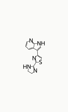 c1cnc2[nH]cc(-c3csc(C4=NCCN4)n3)c2c1